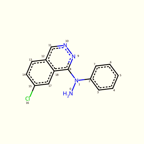 NN(c1ccccc1)c1nncc2ccc(Cl)cc12